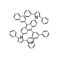 c1ccc(-c2cc(-c3ccccc3)cc(-c3c4ccc(-n5c(-c6ccccc6)ccc5-c5ccccc5)cc4c(-c4ccc5ccccc5c4)c4ccc(-n5c(-c6ccccc6)ccc5-c5ccccc5)cc34)c2)cc1